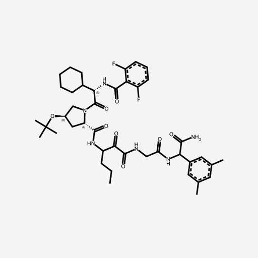 CCCC(NC(=O)[C@@H]1C[C@@H](OC(C)(C)C)CN1C(=O)[C@@H](NC(=O)c1c(F)cccc1F)C1CCCCC1)C(=O)C(=O)NCC(=O)NC(C(N)=O)c1cc(C)cc(C)c1